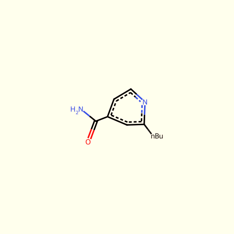 CCCCc1cc(C(N)=O)ccn1